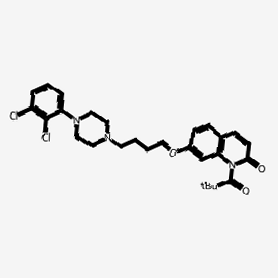 CC(C)(C)C(=O)n1c(=O)ccc2ccc(OCCCCN3CCN(c4cccc(Cl)c4Cl)CC3)cc21